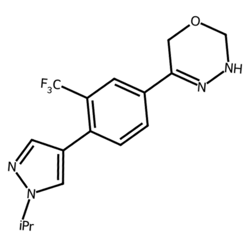 CC(C)n1cc(-c2ccc(C3=NNCOC3)cc2C(F)(F)F)cn1